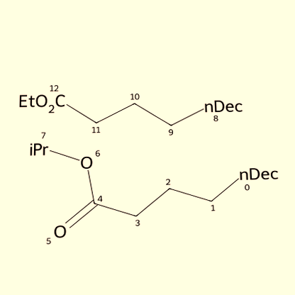 CCCCCCCCCCCCCC(=O)OC(C)C.CCCCCCCCCCCCCC(=O)OCC